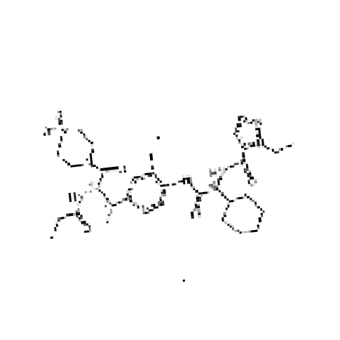 CCC(=O)N[C@H](C(=O)N1CCS(=O)(=O)CC1)[C@@H](C)c1ccc(NC(=O)[C@@H](NC(=O)c2ccnn2CC)C2CCCCC2)c(F)c1